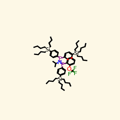 CCCC[Si](CCCC)(CCCC)c1ccc(P(c2ccc([Si](CCCC)(CCCC)CCCC)cc2)N(C(C)C)P(c2ccc([Si](CCCC)(CCCC)CCCC)cc2)c2ccccc2OC(F)(F)F)cc1